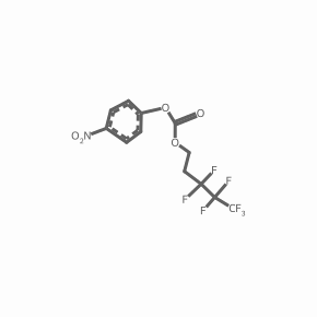 O=C(OCCC(F)(F)C(F)(F)C(F)(F)F)Oc1ccc([N+](=O)[O-])cc1